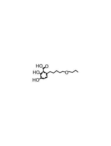 CCCCOCCCCCc1ccc(O)c(O)c1C(=O)O